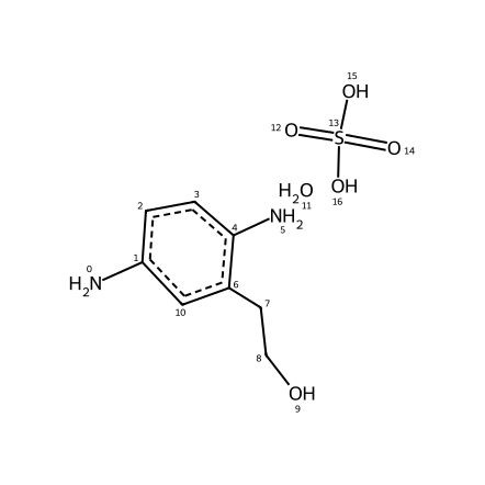 Nc1ccc(N)c(CCO)c1.O.O=S(=O)(O)O